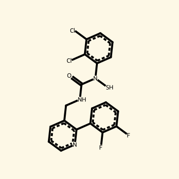 O=C(NCc1cccnc1-c1cccc(F)c1F)N(S)c1cccc(Cl)c1Cl